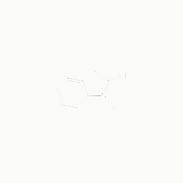 [2H]c1cc2ccccc2n1[2H]